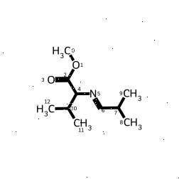 COC(=O)C(N=CC(C)C)C(C)C